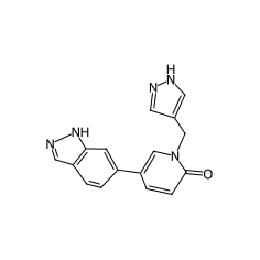 O=c1ccc(-c2ccc3cn[nH]c3c2)cn1Cc1cn[nH]c1